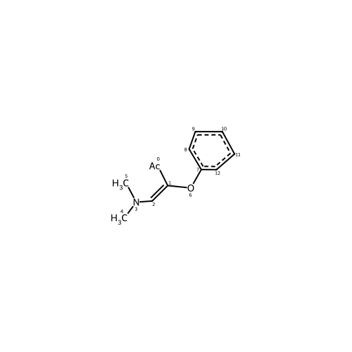 CC(=O)/C(=C\N(C)C)Oc1ccccc1